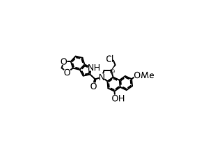 COc1ccc2c(O)cc3c(c2c1)[C@H](CCl)CN3C(=O)c1cc2c3c(ccc2[nH]1)OCO3